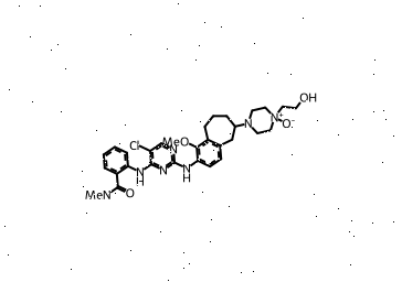 CNC(=O)c1ccccc1Nc1nc(Nc2ccc3c(c2OC)CCCC(N2CC[N+]([O-])(CCO)CC2)C3)ncc1Cl